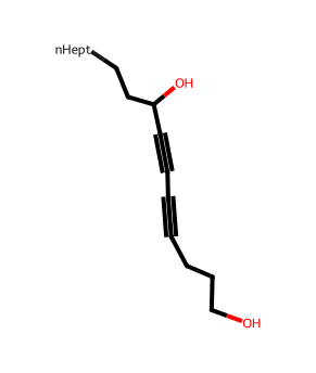 CCCCCCCCCC(O)C#CC#CCCCO